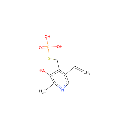 C=Cc1cnc(C)c(O)c1CSP(=O)(O)O